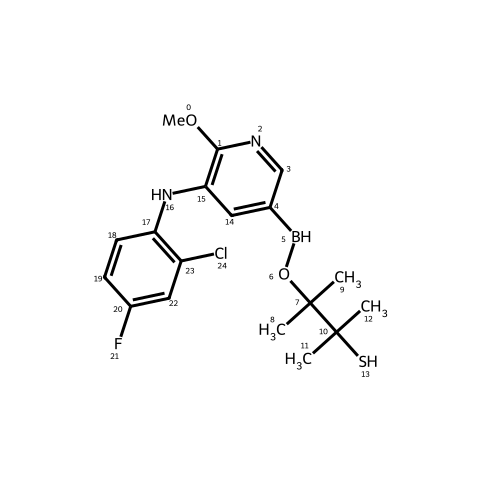 COc1ncc(BOC(C)(C)C(C)(C)S)cc1Nc1ccc(F)cc1Cl